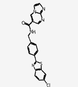 O=C(NCc1ccc(-c2nc3ccc(Cl)cc3s2)cc1)c1cnc2nccn2c1